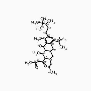 CCCC(CC1CC(=O)c2c(C)c(CCC(C)C(C)(C)C)cc(C(C)C)c2C1)C(CC)C(=O)CC(C)=O